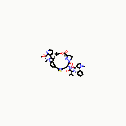 CCn1c(-c2cccnc2[C@H](C)OC)c2c3cc(ccc31)-c1csc(n1)C[C@H](NC(=O)[C@H](C(C)C)N(C)C(=O)[C@@H]1CCN(C)[C@@H]1c1ccccc1)C(=O)N1CCC[C@H](N1)C(=O)OCC(C)(C)C2